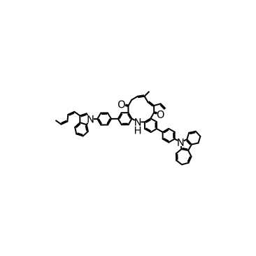 C=C/C1=C\C(C)=C/CC(=O)c2cc(-c3ccc(-n4cc(/C=C\C=C/C)c5ccccc54)cc3)ccc2Nc2ccc(-c3ccc(-n4c5c(c6c4C=CCC6)C=CCC=C5)cc3)cc2C1=O